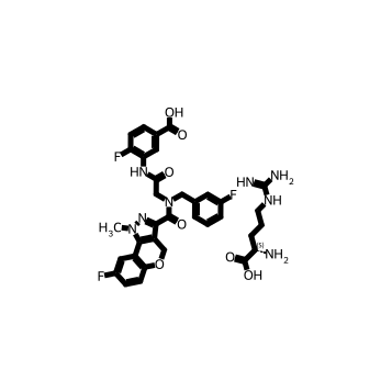 Cn1nc(C(=O)N(CC(=O)Nc2cc(C(=O)O)ccc2F)Cc2cccc(F)c2)c2c1-c1cc(F)ccc1OC2.N=C(N)NCCC[C@H](N)C(=O)O